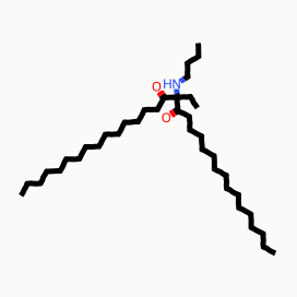 CCCCCCCCCCCCCCCC(=O)C(CC)(NCCCC)C(=O)CCCCCCCCCCCCCCC